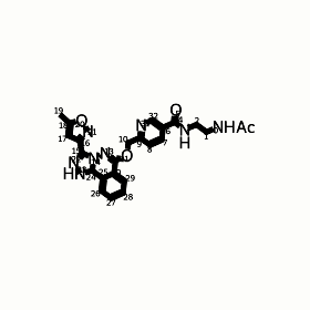 CC(=O)NCCNC(=O)c1ccc(COC2=NN3C(c4cc(C)on4)=NNC3c3ccccc32)nc1